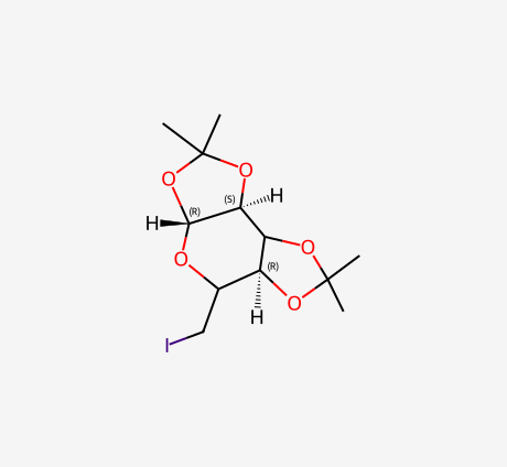 CC1(C)OC2[C@@H](O1)C(CI)O[C@@H]1OC(C)(C)O[C@@H]21